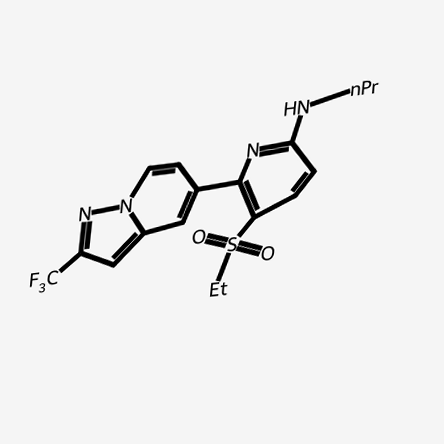 CCCNc1ccc(S(=O)(=O)CC)c(-c2ccn3nc(C(F)(F)F)cc3c2)n1